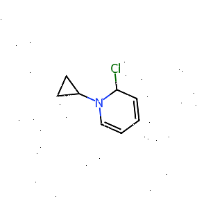 ClC1C=CC=CN1C1CC1